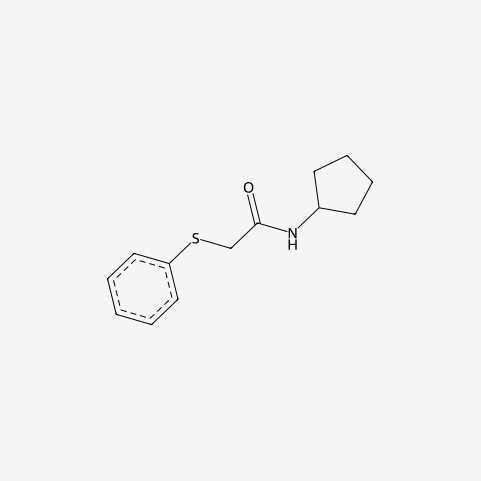 O=C(CSc1ccccc1)NC1CCCC1